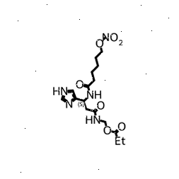 CCC(=O)OCNC(=O)C[C@H](NC(=O)CCCCCO[N+](=O)[O-])c1c[nH]cn1